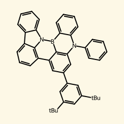 CC(C)(C)c1cc(-c2cc3c4c(c2)N(c2ccccc2)c2ccccc2B4n2c4ccccc4c4cccc-3c42)cc(C(C)(C)C)c1